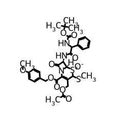 COc1ccc(COC(=O)C2=C(COC(C)=O)C(SC)[S+]([O-])[C@@H]3[C@H](NC(=O)C(NC(=O)OC(C)(C)C)c4ccccc4)C(=O)N23)cc1